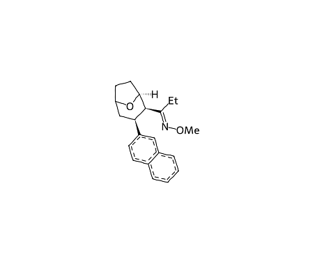 CCC(=NOC)[C@@H]1[C@@H]2CCC(C[C@@H]1c1ccc3ccccc3c1)O2